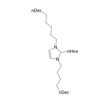 CCCCCCCCCCCCCCCN1C=CN(CCCCCCCCCCCCCC)C1CCCCCC